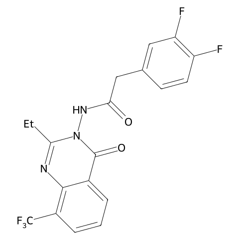 CCc1nc2c(C(F)(F)F)cccc2c(=O)n1NC(=O)Cc1ccc(F)c(F)c1